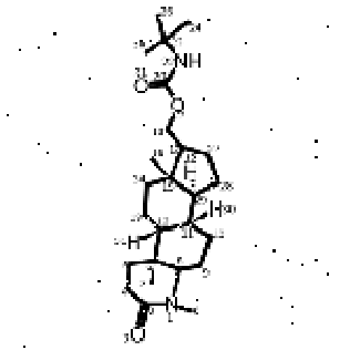 CN1C(=O)CC[C@@]2(C)C1CC[C@@H]1[C@H]2CC[C@]2(C)C(COC(=O)NC(C)(C)C)CC[C@@H]12